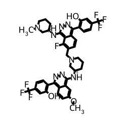 COc1ccc2c(-c3ccc(C(F)(F)F)cc3O)nnc(N[C@@H]3CCCN(Cc4ccc5c(-c6ccc(C(F)(F)F)cc6O)nnc(N[C@@H]6CCCN(C)C6)c5c4F)C3)c2c1